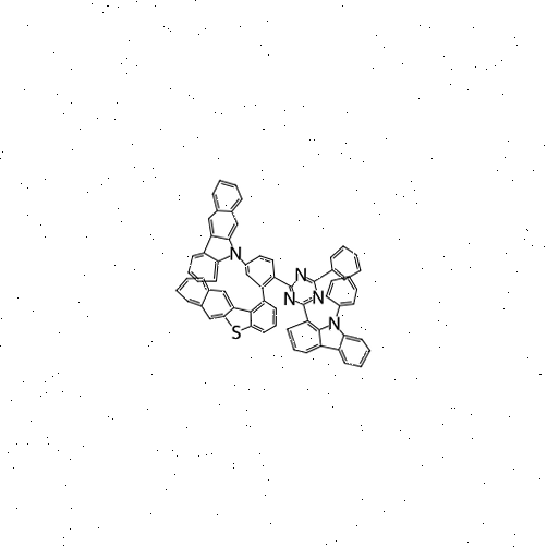 c1ccc(-c2nc(-c3ccc(-n4c5ccccc5c5cc6ccccc6cc54)cc3-c3cccc4sc5cc6ccccc6cc5c34)nc(-c3cccc4c5ccccc5n(-c5ccccc5)c34)n2)cc1